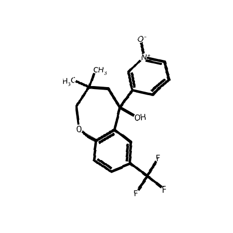 CC1(C)COc2ccc(C(F)(F)F)cc2C(O)(c2ccc[n+]([O-])c2)C1